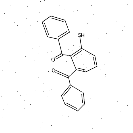 O=C(c1ccccc1)c1cccc(S)c1C(=O)c1ccccc1